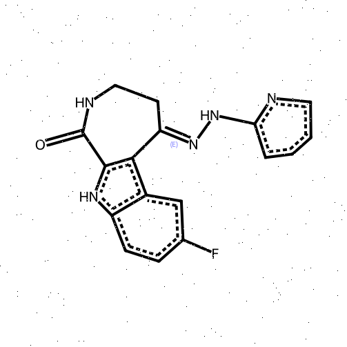 O=C1NCC/C(=N\Nc2ccccn2)c2c1[nH]c1ccc(F)cc21